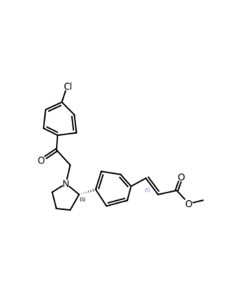 COC(=O)/C=C/c1ccc([C@@H]2CCCN2CC(=O)c2ccc(Cl)cc2)cc1